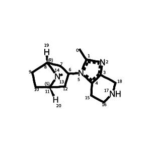 Cc1nc2c(n1C1C[C@H]3CC[C@@H](C1)N3C)CCNC2